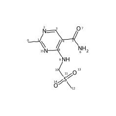 Cc1ncc(C(N)=O)c(NCS(C)(=O)=O)n1